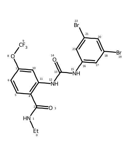 CCNC(=O)c1ccc(OC(F)(F)F)cc1NC(=O)Nc1cc(Br)cc(Br)c1